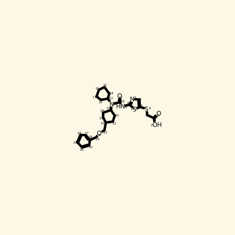 O=C(O)CSc1cnc(NC(=O)N(C2CCCCC2)C2CCC(COCc3ccccc3)CC2)s1